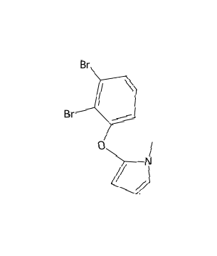 Cn1c[c]cc1Oc1cccc(Br)c1Br